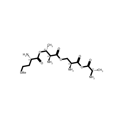 CSCC[C@H](N)C(=O)O[C@H](C)[C@H](N)C(=O)OC[C@H](N)C(=O)OC(=O)[C@H](C)N